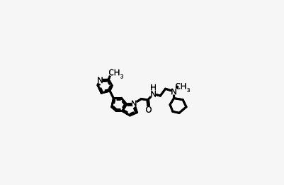 Cc1cc(-c2ccc3ccn(CC(=O)NCCN(C)C4CCCCC4)c3c2)ccn1